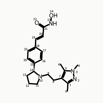 Cc1nn(C)c(C)c1CCN1CCC[C@H]1c1ccc(/C=C/C(=O)NO)cc1